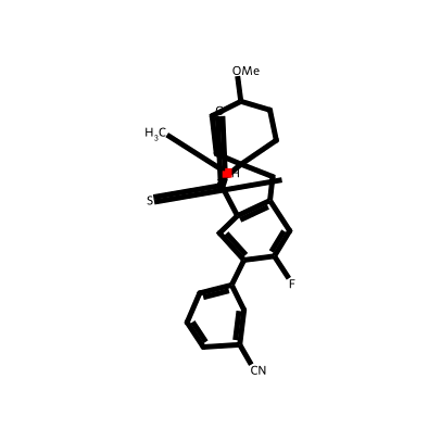 COC1CCC2(CC1)Cc1cc(F)c(-c3cccc(C#N)c3)cc1C21NC(=S)N(C)C1=O